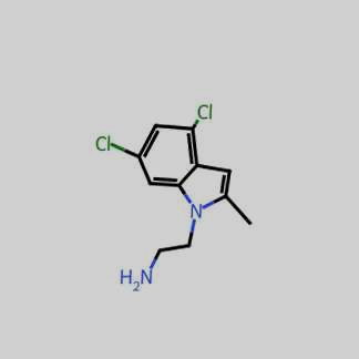 Cc1cc2c(Cl)cc(Cl)cc2n1CCN